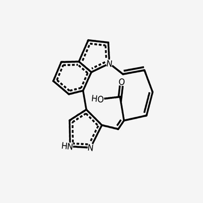 O=C(O)C1=C\c2n[nH]cc2-c2cccc3ccn(c23)/C=C/C=C\1